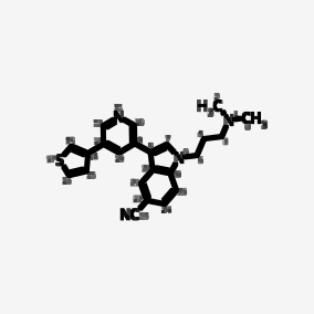 CN(C)CCCn1cc(-c2cncc(-c3ccsc3)c2)c2cc(C#N)ccc21